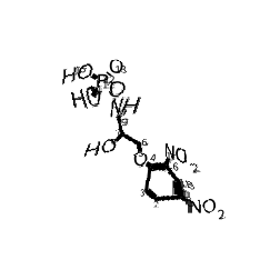 O=[N+]([O-])c1ccc(OCC(O)CNOP(=O)(O)O)c([N+](=O)[O-])c1